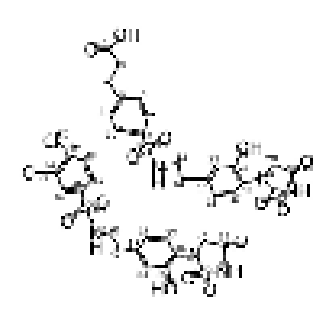 O=C(O)CCc1ccc(S(=O)(=O)NCCc2ccc(N3CC(=O)NS3(=O)=O)c(O)c2)cc1.O=C1CN(c2ccc(CCNS(=O)(=O)c3ccc(Cl)c(Cl)c3)cc2O)S(=O)(=O)N1